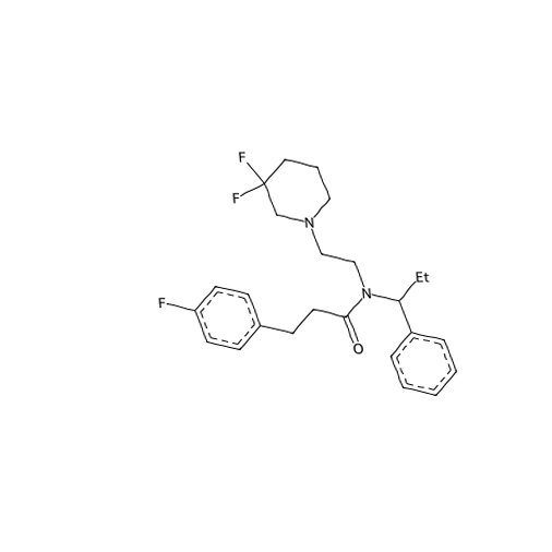 CCC(c1ccccc1)N(CCN1CCCC(F)(F)C1)C(=O)CCc1ccc(F)cc1